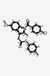 COc1ccc2c(c1)c(CC(=O)Sc1ccc(C)cc1)c(C)n2C(=O)c1ccc(Cl)cc1